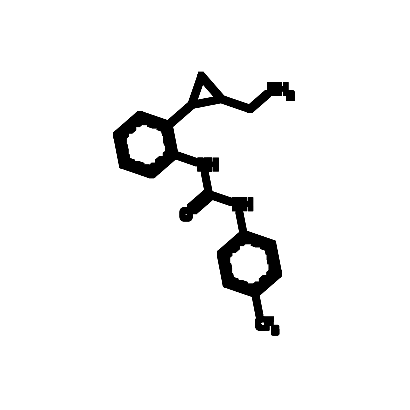 NCC1CC1c1ccccc1NC(=O)Nc1ccc(C(F)(F)F)cc1